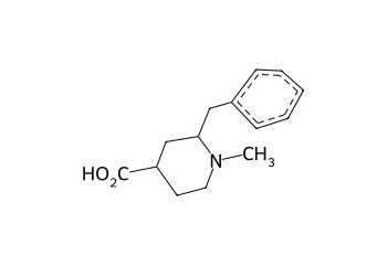 CN1CCC(C(=O)O)CC1Cc1ccccc1